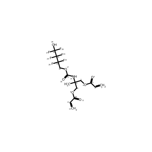 C=CC(=O)OCC(C)(COC(=O)C=C)NC(=O)OCC(F)(F)C(F)(F)C(O)(F)F